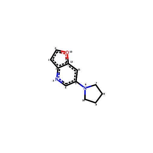 c1cc2ncc(N3CCCC3)cc2o1